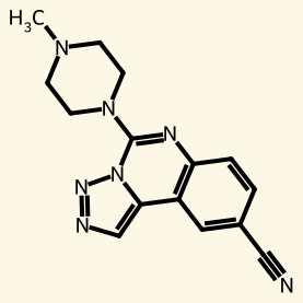 CN1CCN(c2nc3ccc(C#N)cc3c3cnnn23)CC1